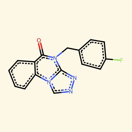 O=c1c2ccccc2n2cnnc2n1Cc1ccc(F)cc1